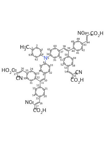 Cc1ccc(N(c2ccc(C=C(c3ccc(/C=C(\C#N)C(=O)O)cc3)c3ccc(/C=C(\C#N)C(=O)O)cc3)cc2)c2ccc(C=C(c3ccc(/C=C(\C#N)C(=O)O)cc3)c3ccc(/C=C(\C#N)C(=O)O)cc3)cc2)cc1